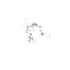 CC1(C)O[C@@H]2[C@H](O1)[C@@H](CSCP(=O)(O)OCOC(=O)C(C)(C)C)O[C@H]2n1ccc2c(NC3CCCC3)c(C#N)c(Cl)nc21